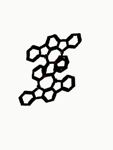 c1ccc(-n2c3ccccc3c3ccc4c5ccccc5n(-c5ccc(-n6c7ccccc7c7ccc8c9ccccc9n(-c9ccccc9)c8c76)c6ccccc56)c4c32)cc1